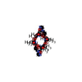 CC(C)C[C@H]1C(=O)O[C@H](Cc2ccc(CN3CCOc4ncccc43)cc2)C(=O)N(C)[C@@H](CC(C)C)C(=O)O[C@H](C)C(=O)N(C)[C@@H](CC(C)C)C(=O)O[C@H](Cc2ccc(CN3CCOc4ncccc43)cc2)C(=O)N(C)[C@@H](CC(C)C)C(=O)O[C@H](C)C(=O)N1C